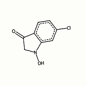 O=C1CN(O)c2cc(Cl)ccc21